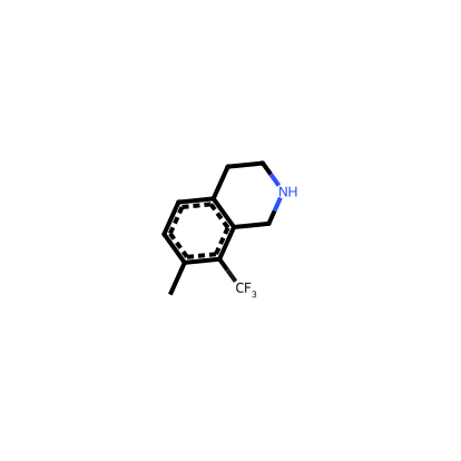 Cc1ccc2c(c1C(F)(F)F)CNCC2